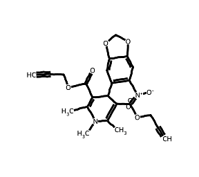 C#CCOC(=O)C1=C(C)N(C)C(C)=C(C(=O)OCC#C)C1c1cc2c(cc1[N+](=O)[O-])OCO2